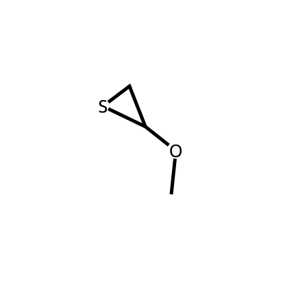 COC1CS1